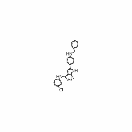 Clc1cccc(Nc2ncnc3[nH]c(-c4ccc(NCc5ccccc5)cc4)cc23)c1